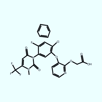 Cn1c(C(F)(F)F)cc(=O)n(-c2cc(Oc3cccnc3OCC(=O)O)c(Cl)cc2F)c1=O.c1ccccc1